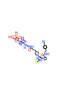 N#Cc1ccc(CCNC(=O)[C@@H]2CCCN2c2cc(N3CCC(CCCC(=O)NCCNc4ncnc5c4ncn5C4OC(CO)C(O)C4O)CC3)nc(C(F)(F)F)n2)cc1